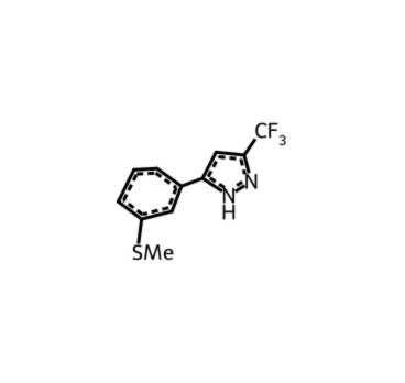 CSc1cccc(-c2cc(C(F)(F)F)n[nH]2)c1